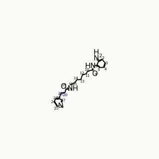 Nc1ccccc1NC(=O)CCCCCCCNC(=O)/C=C/c1cccnc1